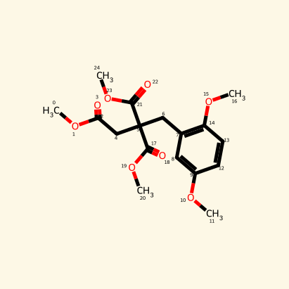 COC(=O)CC(Cc1cc(OC)ccc1OC)(C(=O)OC)C(=O)OC